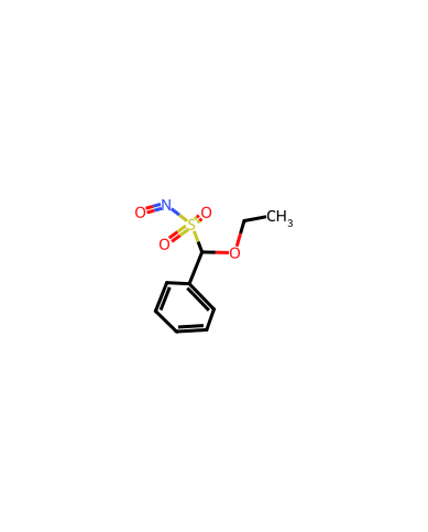 CCOC(c1ccccc1)S(=O)(=O)N=O